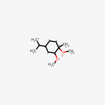 COC1CC(C(C)C)CCC1(C)OC